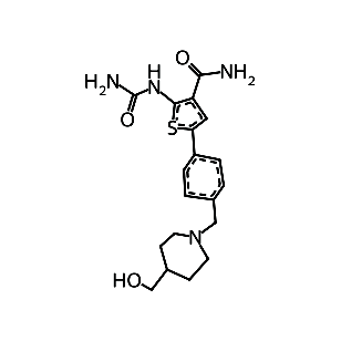 NC(=O)Nc1sc(-c2ccc(CN3CCC(CO)CC3)cc2)cc1C(N)=O